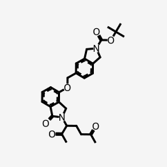 CC(=O)CCC(C(C)=O)N1Cc2c(OCc3ccc4c(c3)CN(C(=O)OC(C)(C)C)C4)cccc2C1=O